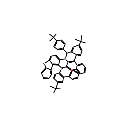 CC(C)(C)c1ccc(N2B3c4ccc5oc6ccccc6c5c4N(c4ccc(C(C)(C)C)cc4-c4ccccc4)c4cc5ccccc5c(c43)-c3ccc(C(C)(C)C)cc32)cc1